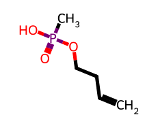 C=CCCOP(C)(=O)O